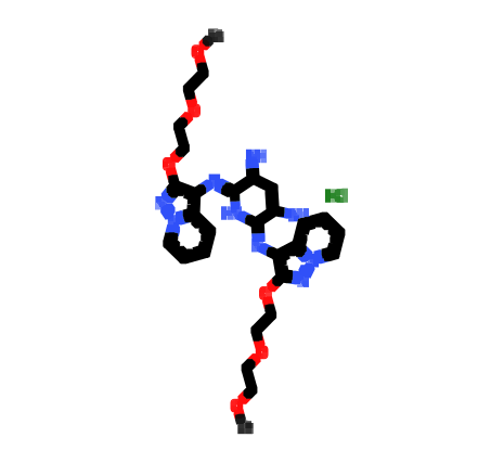 CCOCCOCCOc1nn2ccccc2c1N=C1NC(=Nc2c(OCCOCCOCC)nn3ccccc23)C(N)=CC1=N.Cl